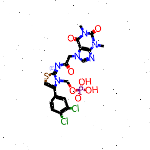 Cn1c(=O)c2c(ncn2CC(=O)/N=c2/scc(-c3ccc(Cl)c(Cl)c3)n2COP(=O)(O)O)n(C)c1=O